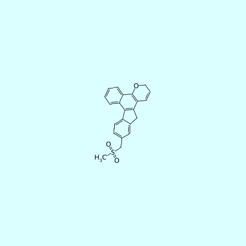 CS(=O)(=O)Cc1ccc2c(c1)Cc1c3c(c4ccccc4c1-2)OCC=C3